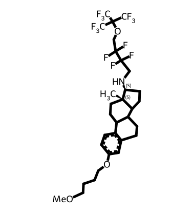 COCCCCOc1ccc2c(c1)CCC1C2CC[C@@]2(C)C1CC[C@@H]2NCC(F)(F)C(F)(F)COC(C(F)(F)F)(C(F)(F)F)C(F)(F)F